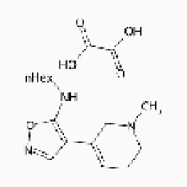 CCCCCCNc1oncc1C1=CCCN(C)C1.O=C(O)C(=O)O